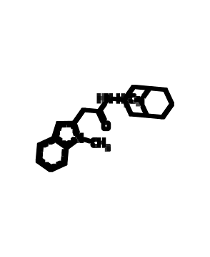 CN1C2CCCC1CC(NC(=O)Cc1cc3ccccc3n1C)C2